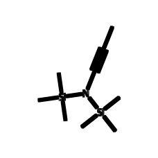 CC#CN([Si](C)(C)C)[Si](C)(C)C